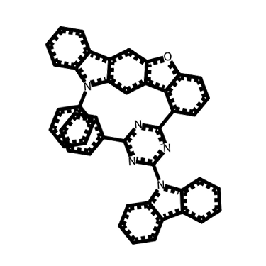 c1ccc(-c2nc(-c3cccc4oc5cc6c7ccccc7n(-c7ccccc7)c6cc5c34)nc(-n3c4ccccc4c4ccccc43)n2)cc1